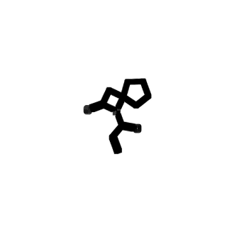 C=CC(=O)N1C(=O)CC12CCCC2